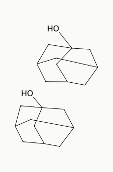 OC12CC3CC(CC(C3)C1)C2.OC12CC3CC(CC(C3)C1)C2